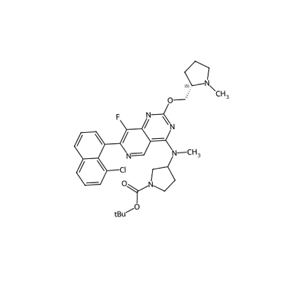 CN(c1nc(OC[C@@H]2CCCN2C)nc2c(F)c(-c3cccc4cccc(Cl)c34)ncc12)C1CCN(C(=O)OC(C)(C)C)C1